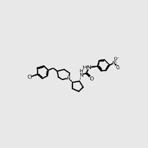 O=C(Nc1ccc([N+](=O)[O-])cc1)N[C@@H]1CCC[C@H]1N1CCC(Cc2ccc(Cl)cc2)CC1